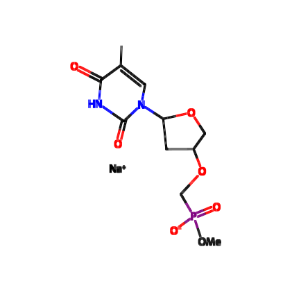 COP(=O)([O-])COC1COC(n2cc(C)c(=O)[nH]c2=O)C1.[Na+]